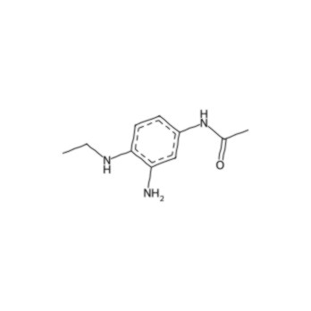 CCNc1ccc(NC(C)=O)cc1N